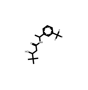 CC(NC(=O)CC(O)C(C)(C)C)c1cccc(C(F)(F)F)c1